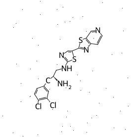 N[C@H](CNc1ncc(-c2nc3ccncc3s2)s1)Cc1ccc(Cl)c(Cl)c1